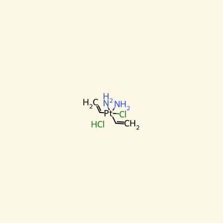 C=[CH][Pt]([NH2])([NH2])([Cl])[CH]=C.Cl